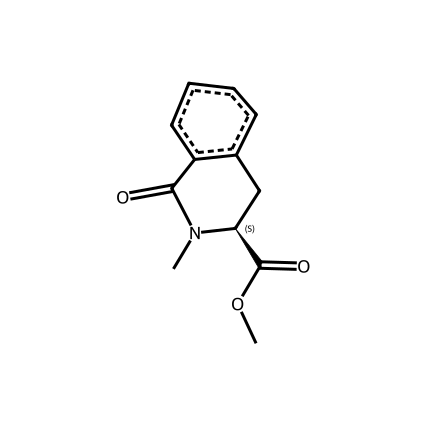 COC(=O)[C@@H]1Cc2ccccc2C(=O)N1C